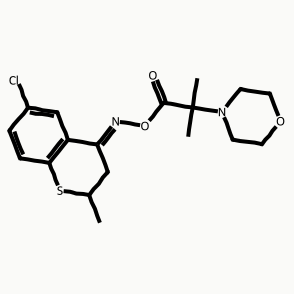 CC1C/C(=N\OC(=O)C(C)(C)N2CCOCC2)c2cc(Cl)ccc2S1